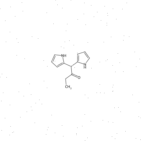 CCC(=O)C(c1ccc[nH]1)c1ccc[nH]1